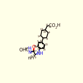 CCCC(Nc1ccc(C2CCC(CC(=O)O)CC2)cc1)C(=O)NC=O